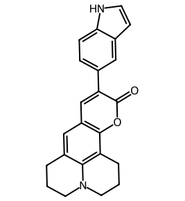 O=c1oc2c3c4c(cc2cc1-c1ccc2[nH]ccc2c1)CCCN4CCC3